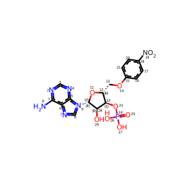 Nc1ncnc2c1ncn2[C@@H]1O[C@H](COc2ccc([N+](=O)[O-])cc2)[C@@H](OP(=O)(O)O)[C@H]1O